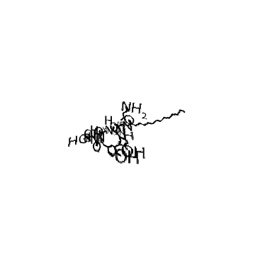 C=C([C@H](CCCCN)NC(=O)CCCCCCCCCCCCC)N(C)[C@@H]1C(=O)N[C@@H](C)C(=O)N[C@H](C(=O)NCB(O)O)Cc2ccc(O)c(c2)-c2cc1ccc2O